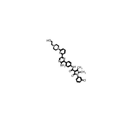 Cc1c(C(=O)Nc2ccc(-c3nc(-c4cccc(N5CCN(CCO)CC5)n4)cnc3N)cc2)c(=O)n(-c2cccc(Cl)c2)n1C